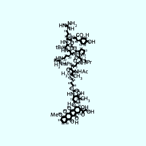 CCCN(CC(=O)N[C@@H](CC(C)C)C(=O)N1CCC[C@H]1C(=O)N[C@@H](CCCNC(=N)N)C(=O)N[C@H](C(=O)N[C@@H](CCCNC(=N)N)C(=O)N[C@@H](Cc1ccc(O)cc1)C(=O)O)C(C)(C)C)C(=O)[C@@H](NC(C)=O)C(C)(C)SSCCOC(=O)N[C@H]1C[C@H](O[C@H]2C[C@](O)(C(=O)CO)Cc3c(O)c4c(c(O)c32)C(=O)c2c(OC)cccc2C4=O)O[C@@H](C)[C@H]1O